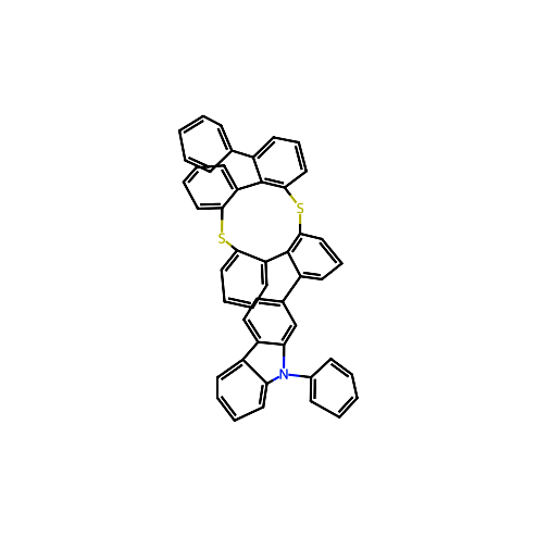 c1ccc(-c2cccc3c2-c2ccccc2Sc2ccccc2-c2c(cccc2-c2ccc4c5ccccc5n(-c5ccccc5)c4c2)S3)cc1